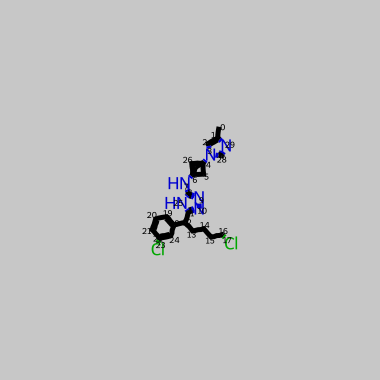 Cc1cn(C23CC(Nc4nnc(C(CCCCCl)c5cccc(Cl)c5)[nH]4)(C2)C3)cn1